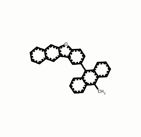 Cc1c2ccccc2c(-c2ccc3oc4cc5ccccc5cc4c3c2)c2ccccc12